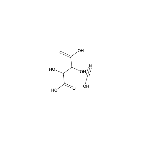 N#CO.O=C(O)C(O)C(O)C(=O)O